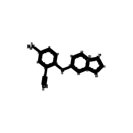 C#Cc1cc(N)ccc1Oc1ccn2ncnc2c1